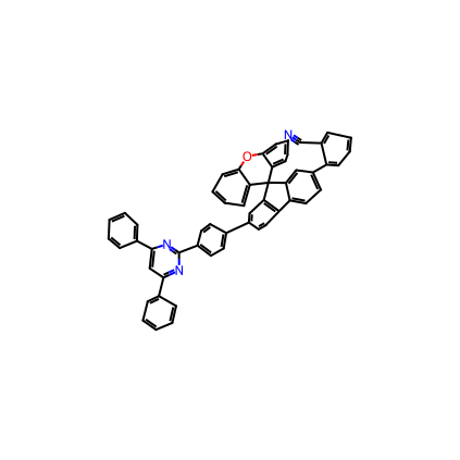 N#Cc1ccccc1-c1ccc2c(c1)C1(c3ccccc3Oc3ccccc31)c1cc(-c3ccc(-c4nc(-c5ccccc5)cc(-c5ccccc5)n4)cc3)ccc1-2